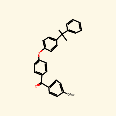 COc1ccc(C(=O)c2ccc(Oc3ccc(C(C)(C)c4ccccc4)cc3)cc2)cc1